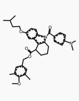 COc1c(C)cc(COC(=O)C2CCCc3c2c2cc(OCCC(C)C)ccc2n3C(=O)c2ccc(N(C)C)cc2)cc1C